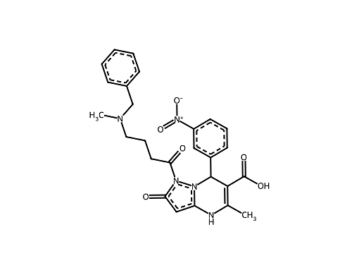 CC1=C(C(=O)O)C(c2cccc([N+](=O)[O-])c2)n2c(cc(=O)n2C(=O)CCCN(C)Cc2ccccc2)N1